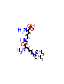 CN(C)CCCC[C@H](N)C(=O)ONCCC[C@@H](N)C(=O)O